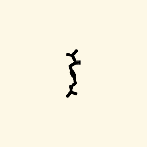 CC(C)NCC#CCOC(C)C